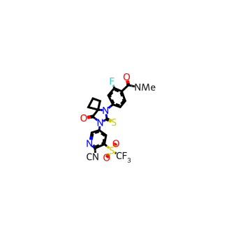 CNC(=O)c1ccc(N2C(=S)N(c3cnc(C#N)c(S(=O)(=O)C(F)(F)F)c3)C(=O)C23CCC3)cc1F